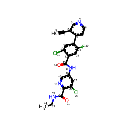 C#Cc1cnccc1-c1cc(Cl)c(C(=O)Nc2cnc(C(=O)NCC)c(Cl)c2)cc1F